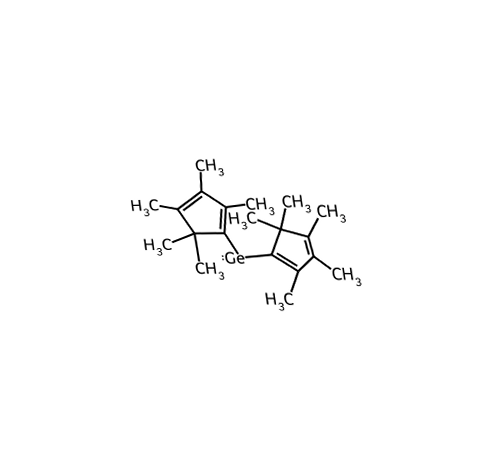 CC1=C(C)C(C)(C)[C]([Ge][C]2=C(C)C(C)=C(C)C2(C)C)=C1C